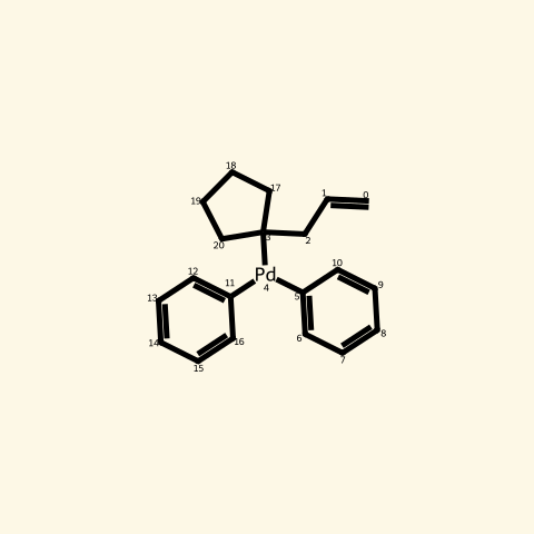 C=CC[C]1([Pd]([c]2ccccc2)[c]2ccccc2)CCCC1